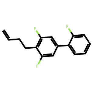 C=CCCc1c(F)cc(-c2ccccc2F)cc1F